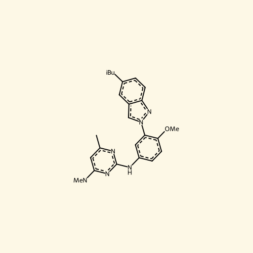 CCC(C)c1ccc2nn(-c3cc(Nc4nc(C)cc(NC)n4)ccc3OC)cc2c1